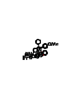 COc1ccc(-c2c(C3CCCCC3)c3ccc(C(=O)NS(=O)(=O)C(C)C)cc3n2CC2(C(=O)N3C4CC3CN(Cc3ccccc3)C4)CC2)cc1